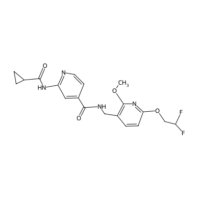 COc1nc(OCC(F)F)ccc1CNC(=O)c1ccnc(NC(=O)C2CC2)c1